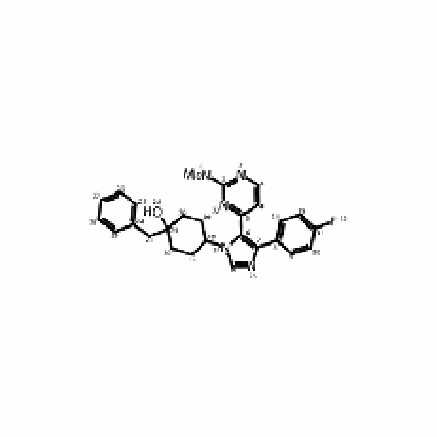 CNc1nccc(-c2c(-c3ccc(F)cc3)ncn2C2CCC(O)(Cc3ccccc3)CC2)n1